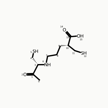 CC(=O)[C@H](CS)NCCC[C@@H](CS)C(=O)O